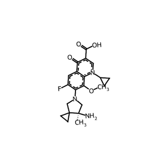 COc1c(N2CC3(CC3)[C@](C)(N)C2)c(F)cc2c(=O)c(C(=O)O)cn(C3CC3)c12